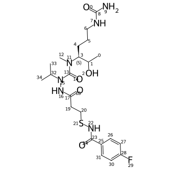 CC(O)[C@H](CCCNC(N)=O)N(C)C(=O)N(NC(=O)CCSNC(=O)c1ccc(F)cc1)C(C)C